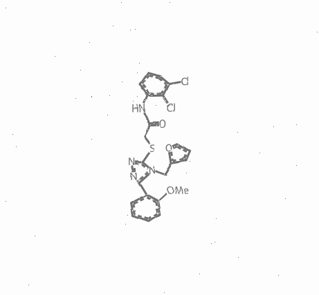 COc1ccccc1-c1nnc(SCC(=O)Nc2cccc(Cl)c2Cl)n1Cc1ccco1